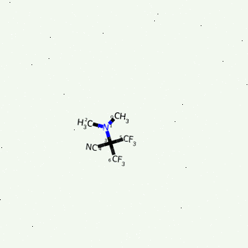 CN(C)C(C#N)(C(F)(F)F)C(F)(F)F